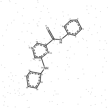 O=C(Nc1ccccc1)c1cncc(Nc2ccccc2)n1